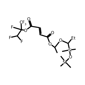 CCC(OC(C)OC(=O)/C=C/C(=O)OC(F)(C(F)F)C(F)(F)F)[Si](C)(C)O[Si](C)(C)C